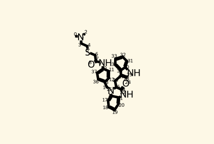 CN(C)CCSCC(=O)Nc1ccc(CN2c3ccccc3NC(=O)C2Cc2c[nH]c3ccccc23)cc1